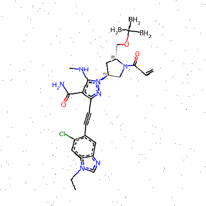 BC(B)(B)OC[C@H]1C[C@H](n2nc(C#Cc3cc4ncn(CC)c4cc3Cl)c(C(N)=O)c2NC)CN1C(=O)C=C